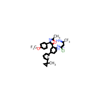 Cc1nc(-c2ccc(OC(F)(F)F)cc2)c(-c2cc(-c3cccc(C4(C)CC4)c3)ccc2N/C(Cl)=C\C(=N)C(F)(F)F)o1